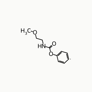 COCCNC(=O)Oc1cc[c]cc1